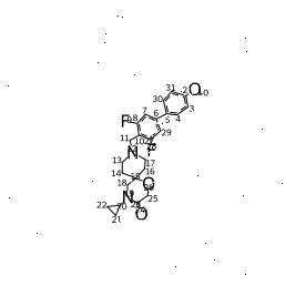 COc1ccc(-c2cc(F)c(CN3CCC4(CC3)CN(C3CC3)C(=O)CO4)c(F)c2)cc1